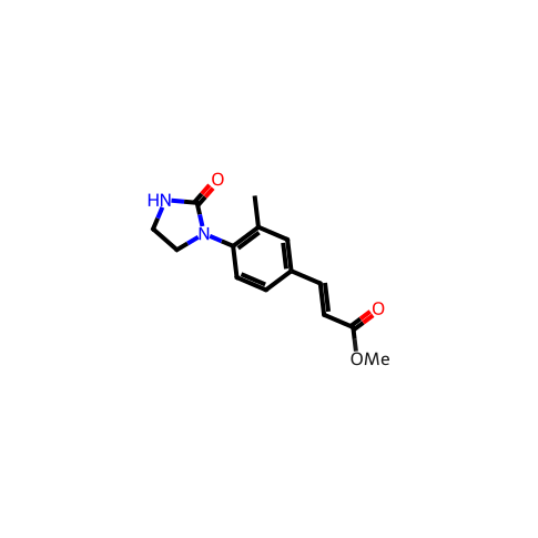 COC(=O)/C=C/c1ccc(N2CCNC2=O)c(C)c1